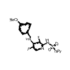 CCCS(=O)(=O)Nc1ncc(F)c(NCc2ccc(OC)cc2)c1F